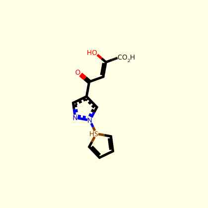 O=C(O)C(O)=CC(=O)c1cnn([SH]2C=CC=C2)c1